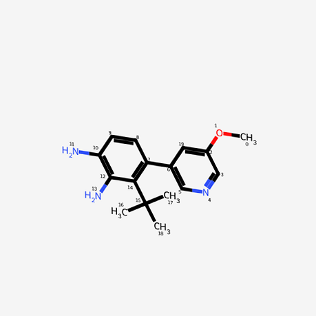 COc1cncc(-c2ccc(N)c(N)c2C(C)(C)C)c1